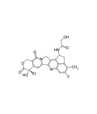 CC[C@@]1(O)C(=O)OCc2c1cc1n(c2=O)Cc2c-1nc1cc(F)c(C)c3c1c2C(NC(=O)CO)C3